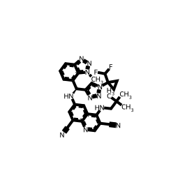 Cn1nnc2cccc([C@H](Nc3cc(C#N)c4ncc(C#N)c(NCC(C)(C)C)c4c3)c3cn(C4(C(F)F)CC4)nn3)c21